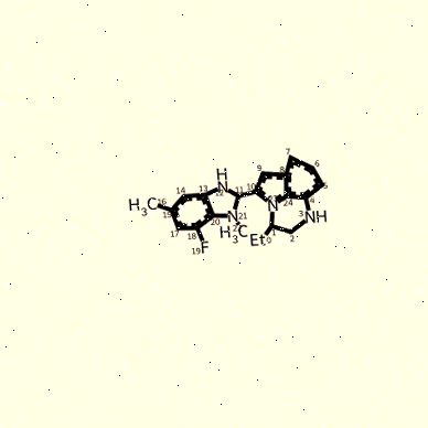 CCC1CNc2cccc3cc(C4Nc5cc(C)cc(F)c5N4C)n1c23